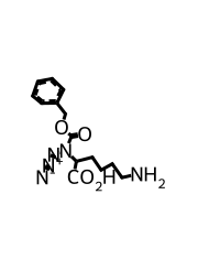 [N-]=[N+]=NN(C(=O)OCc1ccccc1)C(CCCCN)C(=O)O